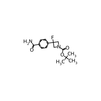 CC(C)(C)OC(=O)N1CC(F)(c2ccc(C(N)=O)cc2)C1